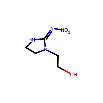 O=[N+]([O-])N=C1NCCN1CCO